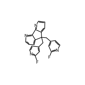 Fc1cc(CC2(Cc3ccnc(F)c3)c3cccnc3-c3ncccc32)ccn1